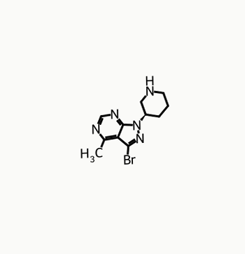 Cc1ncnc2c1c(Br)nn2[C@@H]1CCCNC1